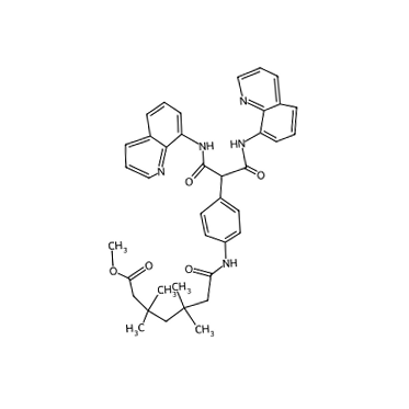 COC(=O)CC(C)(C)CC(C)(C)CC(=O)Nc1ccc(C(C(=O)Nc2cccc3cccnc23)C(=O)Nc2cccc3cccnc23)cc1